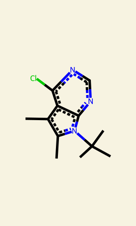 Cc1c(C)n(C(C)(C)C)c2ncnc(Cl)c12